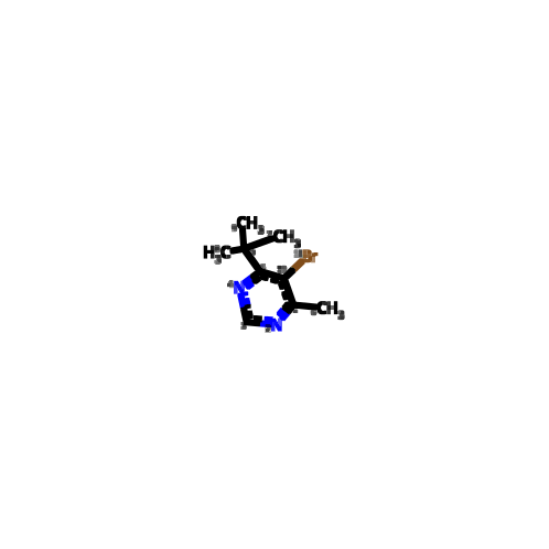 Cc1ncnc(C(C)(C)C)c1Br